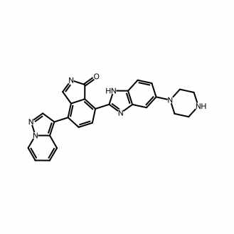 O=C1N=Cc2c(-c3cnn4ccccc34)ccc(-c3nc4cc(N5CCNCC5)ccc4[nH]3)c21